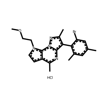 COCCn1ccc2c(C)nc3c(-c4c(C)cc(C)cc4Br)c(C)nn3c21.Cl